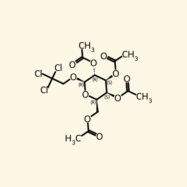 CC(=O)OC[C@H]1O[C@@H](OCC(Cl)(Cl)Cl)[C@H](OC(C)=O)[C@@H](OC(C)=O)[C@H]1OC(C)=O